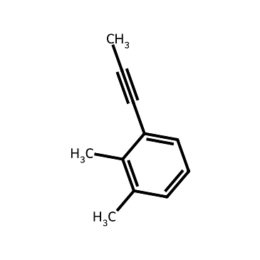 CC#Cc1cccc(C)c1C